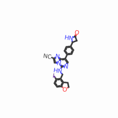 N#Cc1cn2c(NCc3c(I)ccc4c3CCO4)ncc(-c3ccc(C4CC(=O)N4)cc3)c2n1